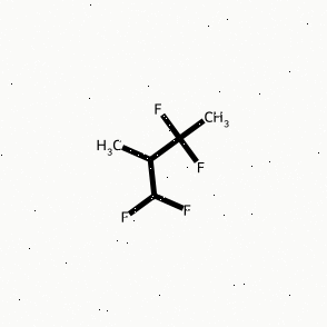 CC([C](F)F)C(C)(F)F